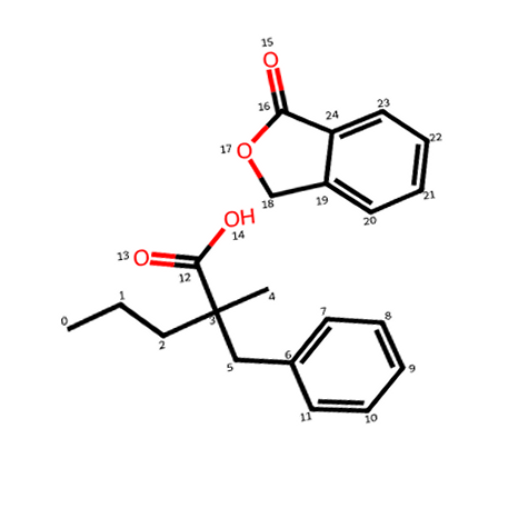 CCCC(C)(Cc1ccccc1)C(=O)O.O=C1OCc2ccccc21